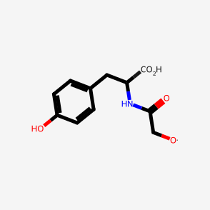 [O]CC(=O)NC(Cc1ccc(O)cc1)C(=O)O